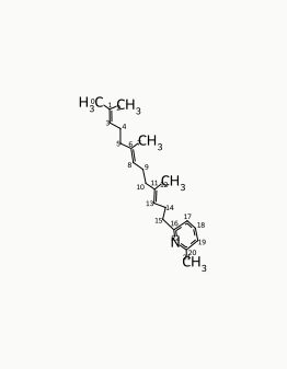 CC(C)=CCC/C(C)=C/CC/C(C)=C/CCc1cccc(C)n1